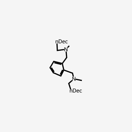 CCCCCCCCCCCN(C)Cc1ccccc1CN(C)CCCCCCCCCCC